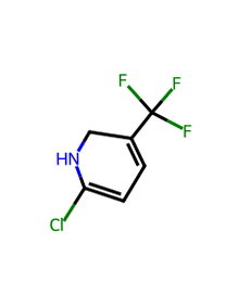 FC(F)(F)C1=CC=C(Cl)NC1